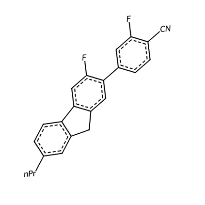 CCCc1ccc2c(c1)Cc1cc(-c3ccc(C#N)c(F)c3)c(F)cc1-2